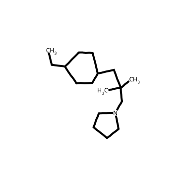 CCC1CCC(CC(C)(C)CN2CCCC2)CC1